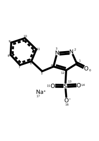 O=C1N=NC(Cc2ccccc2)=C1S(=O)(=O)[O-].[Na+]